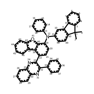 CC1(C)c2ccccc2-c2cc(N(c3ccccc3)c3ccc(-c4nc5ccccc5nc4-c4ccccc4)c4c3oc3ccccc34)ccc21